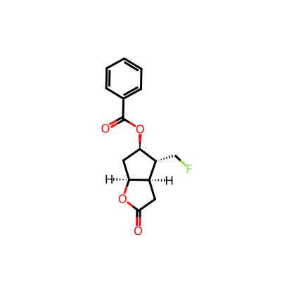 O=C1C[C@@H]2[C@@H](CF)[C@H](OC(=O)c3ccccc3)C[C@@H]2O1